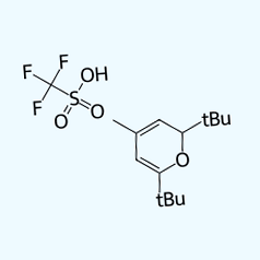 CC1=CC(C(C)(C)C)OC(C(C)(C)C)=C1.O=S(=O)(O)C(F)(F)F